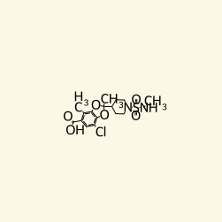 CNS(=O)(=O)N1CCC(C2(C)Oc3c(Cl)cc(C(=O)O)c(C)c3O2)CC1